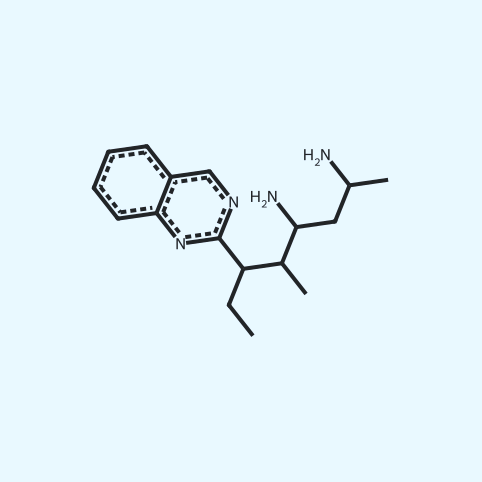 CCC(c1ncc2ccccc2n1)C(C)C(N)CC(C)N